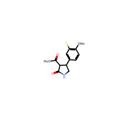 COC(=O)C1C(=O)NCC1c1ccc(OC)c(F)c1